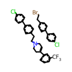 Clc1ccc(-c2ccc(CCBr)cc2)cc1.FC(F)(F)c1cccc(C2=CCN(CCc3ccc(-c4ccc(Cl)cc4)cc3)CC2)c1